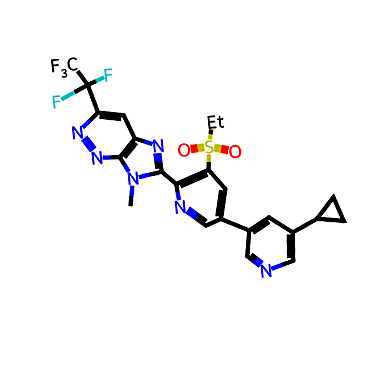 CCS(=O)(=O)c1cc(-c2cncc(C3CC3)c2)cnc1-c1nc2cc(C(F)(F)C(F)(F)F)nnc2n1C